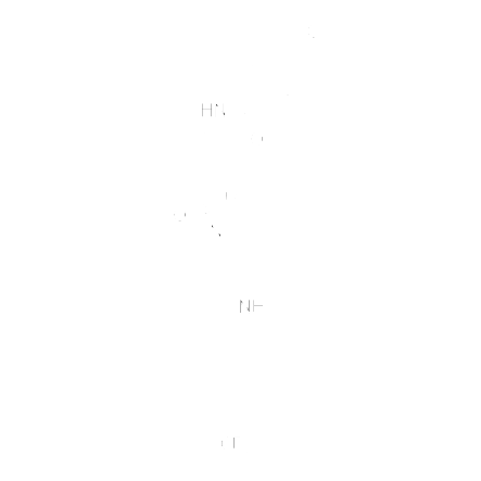 O=C(Nc1cccc(S(=O)(=O)N2CCC(NCCc3cccc(C(F)(F)F)c3)CC2)c1)c1ccc(Cl)cc1